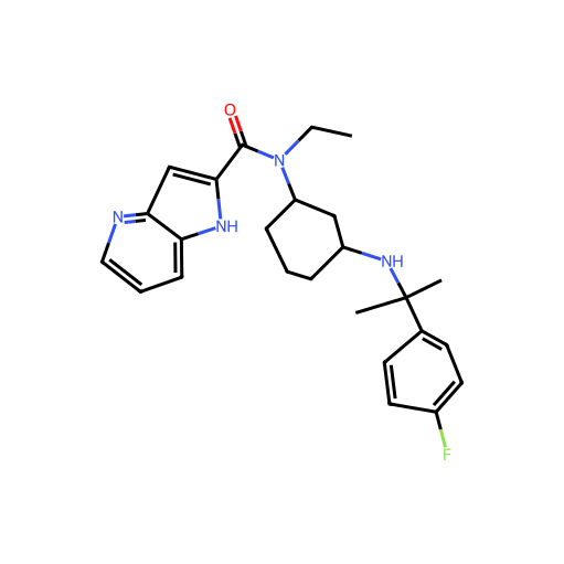 CCN(C(=O)c1cc2ncccc2[nH]1)C1CCCC(NC(C)(C)c2ccc(F)cc2)C1